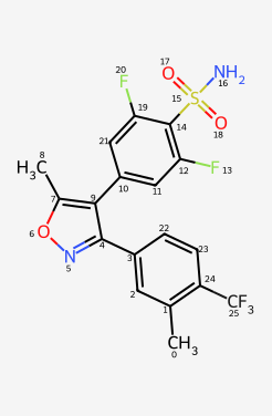 Cc1cc(-c2noc(C)c2-c2cc(F)c(S(N)(=O)=O)c(F)c2)ccc1C(F)(F)F